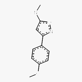 CNc1cc(-c2ccc(OC)cc2)no1